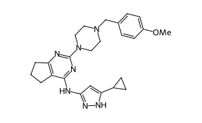 COc1ccc(CN2CCN(c3nc4c(c(Nc5cc(C6CC6)[nH]n5)n3)CCC4)CC2)cc1